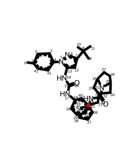 Cc1ccc(-n2nc(C(C)(C)C)cc2NC(=O)Nc2cccc(CC3CC4CCC(C3)N4C(=O)Nc3cccs3)c2)cc1